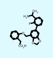 CC(N)c1cccc(-c2cc(COc3ccccc3CC(=O)O)c3c(c2)OCO3)c1F